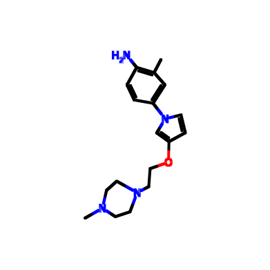 Cc1cc(-n2ccc(OCCN3CCN(C)CC3)c2)ccc1N